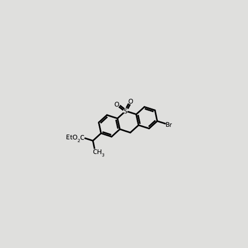 CCOC(=O)C(C)c1ccc2c(c1)Cc1cc(Br)ccc1S2(=O)=O